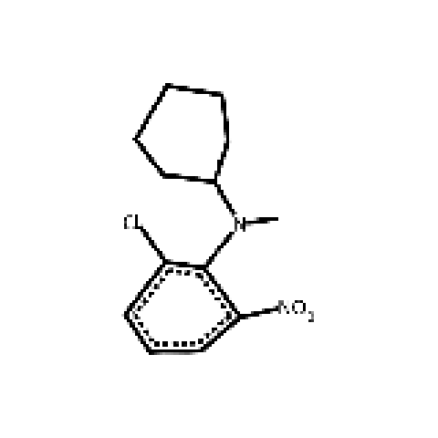 CN(c1c(Cl)cccc1[N+](=O)[O-])C1CCCCC1